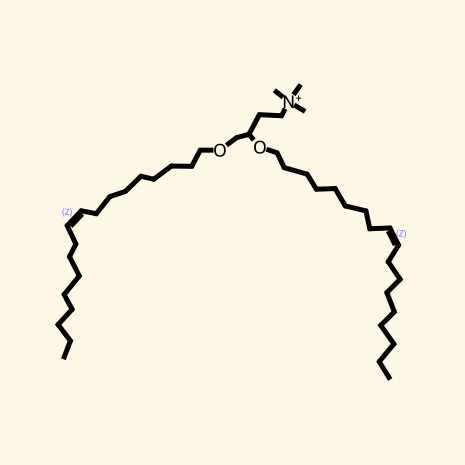 CCCCCCCC/C=C\CCCCCCCCOCC(CC[N+](C)(C)C)OCCCCCCCC/C=C\CCCCCCCC